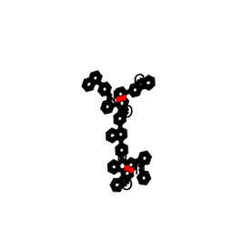 c1ccc(-n2c3ccccc3c3cc(N(c4ccc(-c5ccc(-c6ccc7c(c6)oc6cccc(-c8ccccc8N(c8ccc(-c9ccc%10c(c9)oc9ccccc9%10)cc8)c8ccc(-c9cccc%10ccccc9%10)cc8)c67)c6ccccc56)cc4)c4ccccc4-c4cccc5oc6ccccc6c45)ccc32)cc1